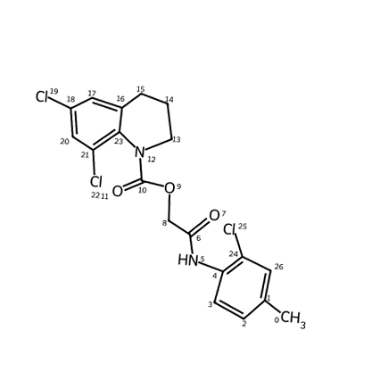 Cc1ccc(NC(=O)COC(=O)N2CCCc3cc(Cl)cc(Cl)c32)c(Cl)c1